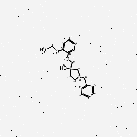 CCOc1ccccc1OCC1(O)CCN(Cc2ccccc2)C1